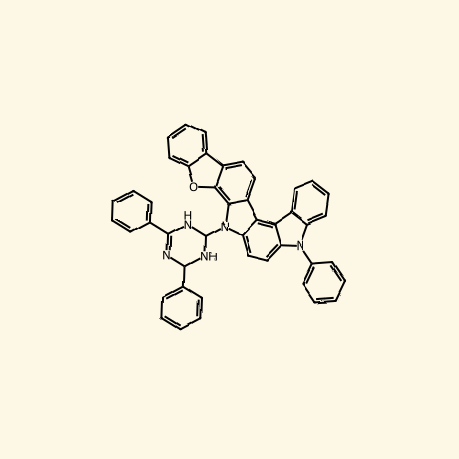 c1ccc(C2=NC(c3ccccc3)NC(n3c4ccc5c(c6ccccc6n5-c5ccccc5)c4c4ccc5c6ccccc6oc5c43)N2)cc1